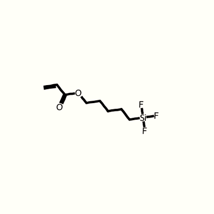 C=CC(=O)OCCCCC[Si](F)(F)F